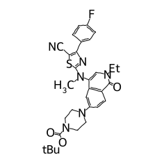 CCn1cc(N(C)c2nc(-c3ccc(F)cc3)c(C#N)s2)c2cc(N3CCN(C(=O)OC(C)(C)C)CC3)ccc2c1=O